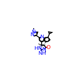 CN1C(=N)N[C@](C)(c2ccnc(-c3cnn(C)c3)c2)[C@H](c2ccc(C3CC3)cc2)C1=O